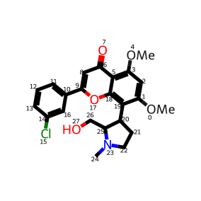 COc1cc(OC)c2c(=O)cc(-c3cccc(Cl)c3)oc2c1C1CCN(C)C1CO